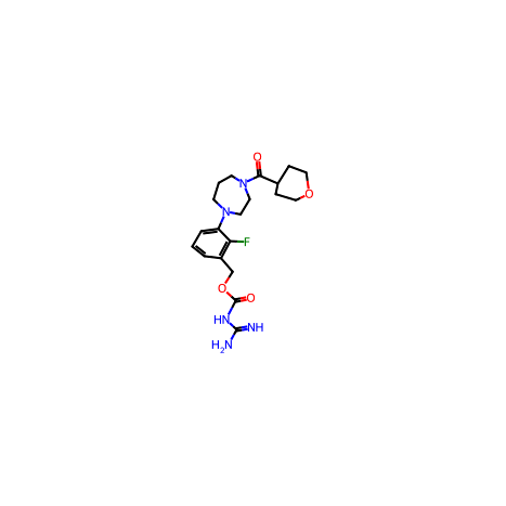 N=C(N)NC(=O)OCc1cccc(N2CCCN(C(=O)C3CCOCC3)CC2)c1F